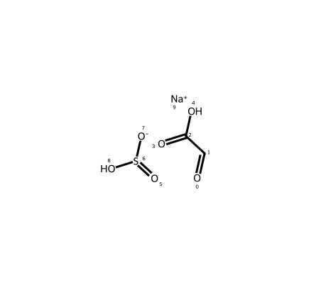 O=CC(=O)O.O=S([O-])O.[Na+]